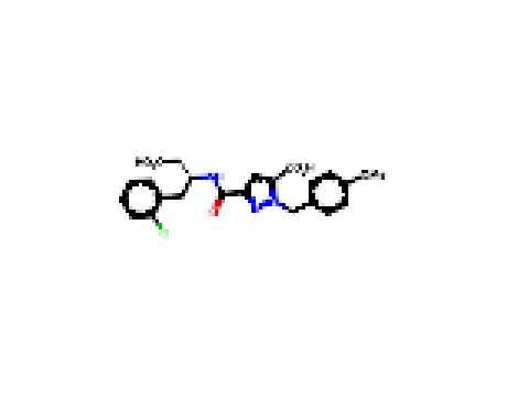 COc1ccc(Cn2nc(C(=O)N[C@@H](CC(=O)O)Cc3ccccc3Cl)cc2C(=O)O)cc1